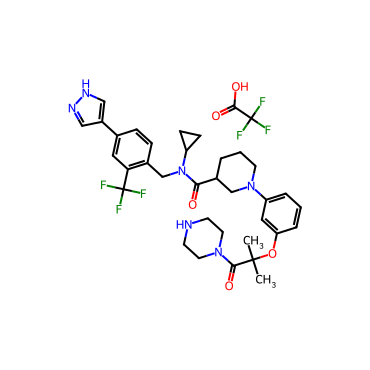 CC(C)(Oc1cccc(N2CCCC(C(=O)N(Cc3ccc(-c4cn[nH]c4)cc3C(F)(F)F)C3CC3)C2)c1)C(=O)N1CCNCC1.O=C(O)C(F)(F)F